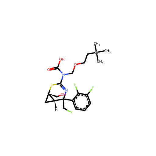 C[Si](C)(C)CCOCN(C(=O)O)C1=N[C@](CF)(c2cccc(F)c2F)[C@@H]2C[C@]2(CO)S1